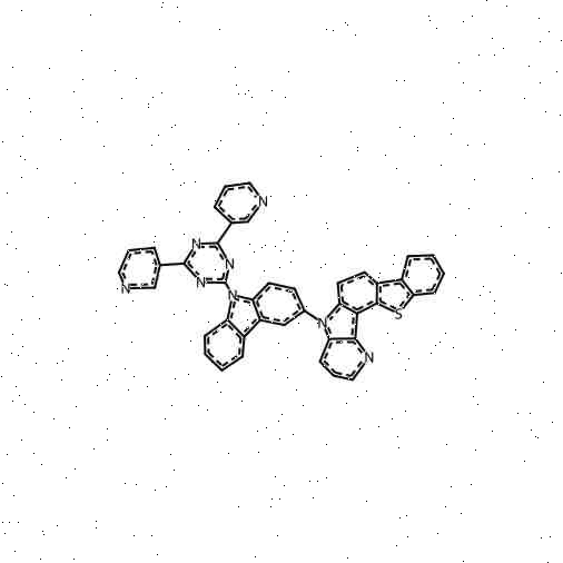 c1cncc(-c2nc(-c3cccnc3)nc(-n3c4ccccc4c4cc(-n5c6cccnc6c6c7sc8ccccc8c7ccc65)ccc43)n2)c1